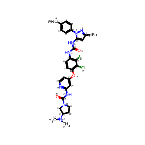 COc1ccc(-n2nc(C(C)(C)C)cc2NC(=O)Nc2ccc(Oc3ccnc(NC(=O)N4CC[C@@H](N(C)C)C4)c3)c(Cl)c2Cl)cc1